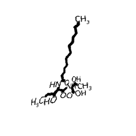 CCCCCCCCCCCCCC(=O)N/C(C(=O)NC(C(=O)O)C(C)O)=C(/O)CC